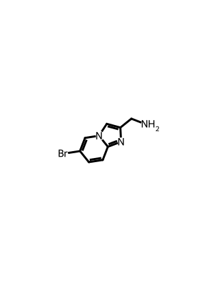 NCc1cn2cc(Br)ccc2n1